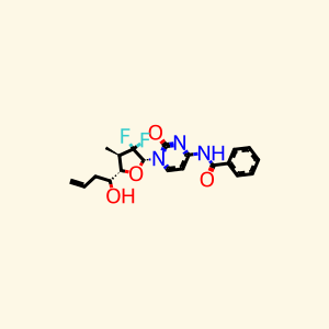 C=CCC(O)[C@H]1O[C@@H](n2ccc(NC(=O)c3ccccc3)nc2=O)C(F)(F)[C@@H]1C